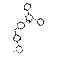 C1=CPCC(c2ccc(Oc3ccc(-c4nc(-c5ccccc5)cc(-c5ccccc5)n4)cc3)cc2)=C1